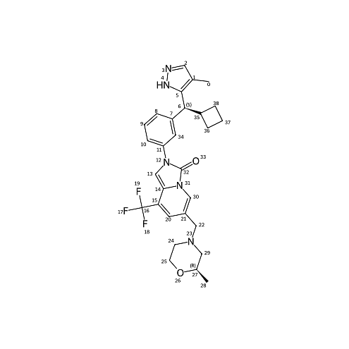 Cc1cn[nH]c1[C@H](c1cccc(-n2cc3c(C(F)(F)F)cc(CN4CCO[C@H](C)C4)cn3c2=O)c1)C1CCC1